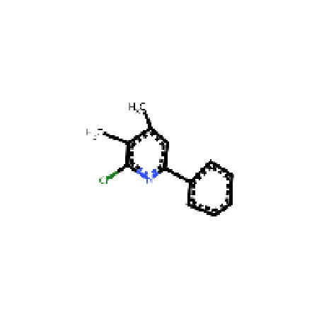 Cc1cc(-c2ccccc2)nc(Cl)c1C